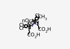 CCCCCCCCN1/C(=C\C=C\c2n(CCCCCCCC)c3cc(Cl)c(Cl)cc3[n+]2CCCCC(=O)O)N(CCCCC(=O)O)c2cc(C)c(Cl)cc21